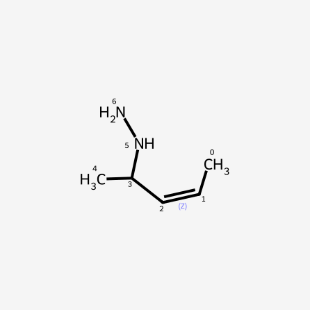 C/C=C\C(C)NN